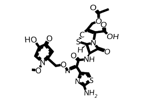 COn1cc(O)c(=O)cc1CO/N=C(\C(=O)N[C@@H]1C(=O)N2C(C(=O)O)=C(COC(C)=O)CS[C@H]12)c1csc(N)n1